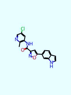 Cc1ncc(Cl)cc1NC(=O)c1cc(-c2ccc3cc[nH]c3c2)on1